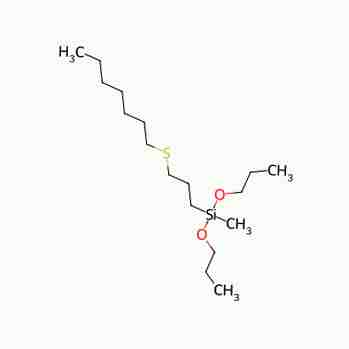 CCCCCCCSCCC[Si](C)(OCCC)OCCC